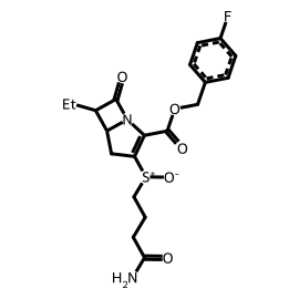 CCC1C(=O)N2C(C(=O)OCc3ccc(F)cc3)=C([S+]([O-])CCCC(N)=O)CC12